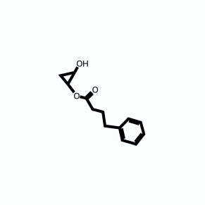 O=C(CCCc1ccccc1)OC1CC1O